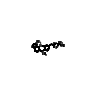 CCc1cc(CNCC(C)(C)O)ccc1N(C)c1cc2c(cn1)ncn2C